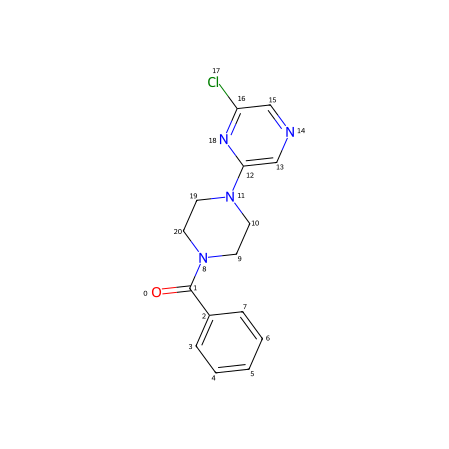 O=C(c1ccccc1)N1CCN(c2cncc(Cl)n2)CC1